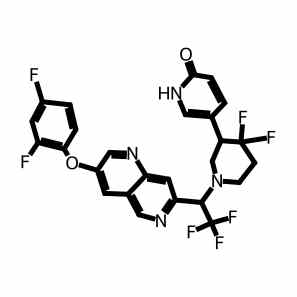 O=c1ccc(C2CN(C(c3cc4ncc(Oc5ccc(F)cc5F)cc4cn3)C(F)(F)F)CCC2(F)F)c[nH]1